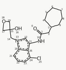 O=C(CC1CCCCCC1)Nc1cn(CC2(O)COC2)c2cccc(Cl)c12